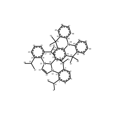 CC(C)c1cccc(C(C)C)c1N1C=CN(c2c(C(C)C)cccc2C(C)C)C1c1cc2c3c(c1)C(C)(C)c1ccccc1N3c1ccccc1C2(C)C